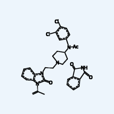 C=C(C)n1c(=O)n(CCN2CCC(N(C(C)=O)c3ccc(Cl)c(Cl)c3)CC2)c2ccccc21.O=C1NC(=O)c2ccccc21